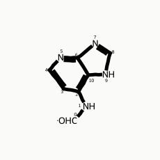 O=[C]Nc1ccnc2nc[nH]c12